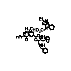 CCCN(CCC)C(=O)c1cc(C)cc(C(=O)O[C@H](CNCc2ccccc2)[C@@H](N)Cc2ccco2)c1.CCc1nc2n(CC(=O)O)c3ccccc3n2n1